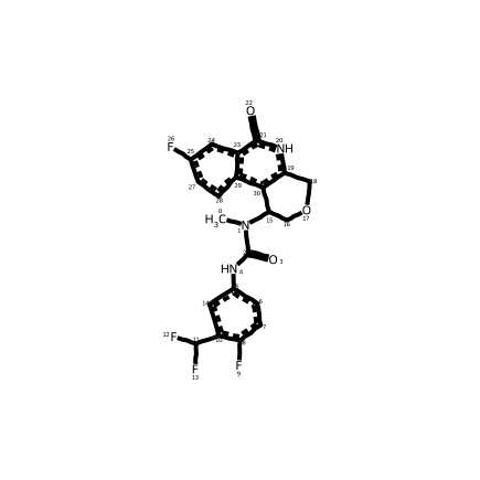 CN(C(=O)Nc1ccc(F)c(C(F)F)c1)C1COCc2[nH]c(=O)c3cc(F)ccc3c21